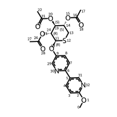 COc1ccc(-c2ccc(O[C@@H]3SC[C@@H](OC(C)=O)[C@H](OC(C)=O)[C@H]3OC(C)=O)cn2)cn1